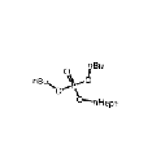 CCCCCCCOP(=O)(OCCCC)OCCCC